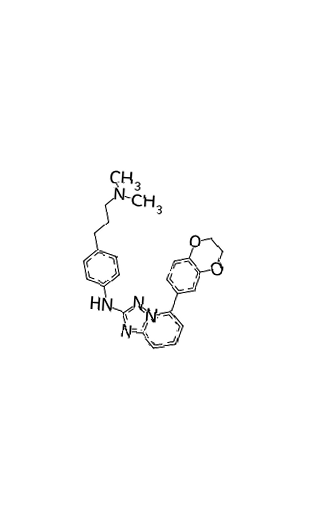 CN(C)CCCc1ccc(Nc2nc3cccc(-c4ccc5c(c4)OCCO5)n3n2)cc1